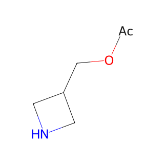 CC(=O)OCC1CNC1